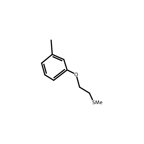 CSCCOc1cccc(C)c1